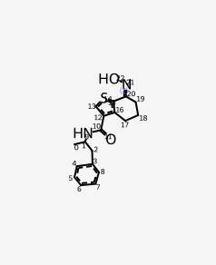 CC(Cc1ccccc1)NC(=O)c1csc2c1CCC/C2=N/O